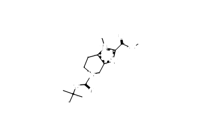 COC(=O)c1nc2c(n1C)CCN(C(=O)OC(C)(C)C)C2